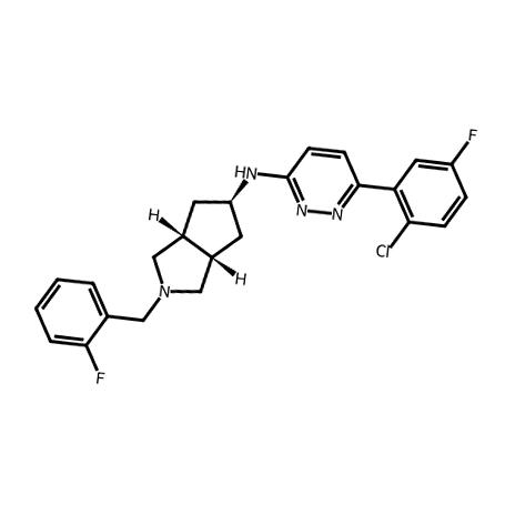 Fc1ccc(Cl)c(-c2ccc(N[C@H]3C[C@@H]4CN(Cc5ccccc5F)C[C@@H]4C3)nn2)c1